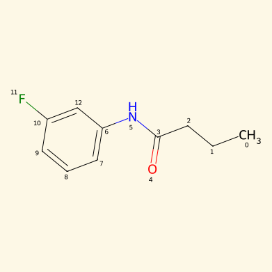 CCCC(=O)Nc1cccc(F)c1